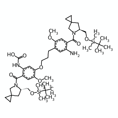 COc1cc(C(=O)N2CC3(CC3)C[C@H]2CO[Si](C)(C)C(C)(C)C)c(N)cc1CCCOc1cc(NC(=O)O)c(C(=O)N2CC3(CC3)C[C@H]2CO[Si](C)(C)C(C)(C)C)cc1OC